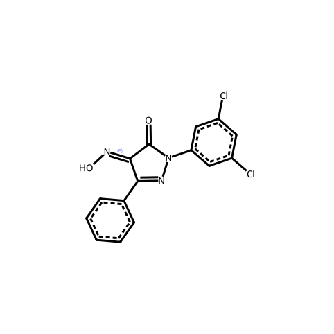 O=C1/C(=N/O)C(c2ccccc2)=NN1c1cc(Cl)cc(Cl)c1